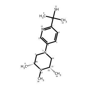 C[C@@H]1CN(c2ccc(C(C)(C)S)nc2)C[C@H](C)N1C